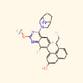 COc1nc(N2CC3CCC(C2)N3)c2cc(F)c(-c3cc(O)cc4cccc(CCF)c34)c(F)c2n1